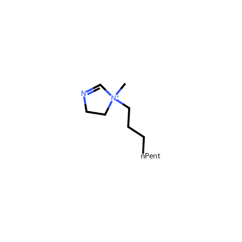 CCCCCCCC[N+]1(C)C=NCC1